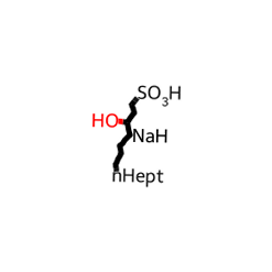 CCCCCCCCCCCC(O)CCS(=O)(=O)O.[NaH]